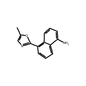 Cc1cnc(-c2cccc3c(N)cccc23)o1